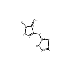 Cn1scc(CN2CC=CS2)c1=O